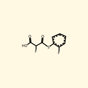 O=C(O)C(F)C(=O)Sc1ccccc1F